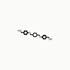 OCc1ccc(OCC2CCC(COc3ccc(CO)cc3)CC2)cc1